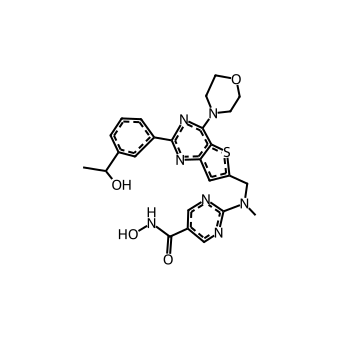 CC(O)c1cccc(-c2nc(N3CCOCC3)c3sc(CN(C)c4ncc(C(=O)NO)cn4)cc3n2)c1